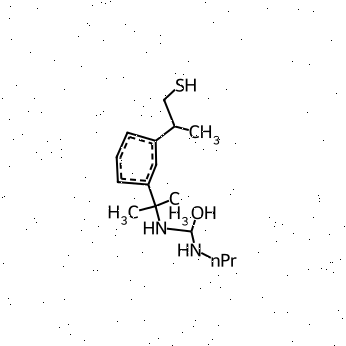 CCCNC(O)NC(C)(C)c1cccc(C(C)CS)c1